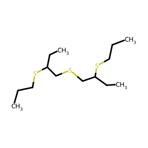 CCCSC(CC)CSCC(CC)SCCC